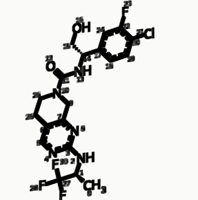 C[C@H](Nc1ncc2c(n1)CN(C(=O)N[C@H](CO)c1ccc(Cl)c(F)c1)CC2)C(F)(F)F